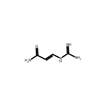 N=C(N)NC=CC(N)=O